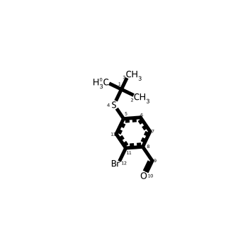 CC(C)(C)Sc1ccc(C=O)c(Br)c1